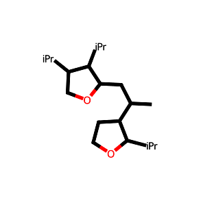 CC(C)C1COC(CC(C)C2CCOC2C(C)C)C1C(C)C